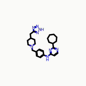 c1cc(Nc2ccc(CN3CCC(Cc4nn[nH]n4)CC3)cc2)nc(C2CCCCCC2)n1